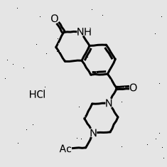 CC(=O)CN1CCN(C(=O)c2ccc3c(c2)CCC(=O)N3)CC1.Cl